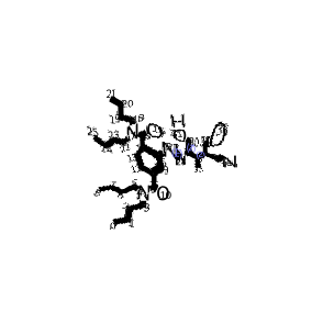 CCCCN(CCCC)C(=O)c1ccc(C(=O)N(CCCC)CCCC)c(/N=N/C(=C\O)C(/C)=C(/C#N)C=O)c1